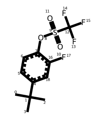 CC(C)(C)c1ccc(OS(=O)(=O)C(F)(F)F)c(F)c1